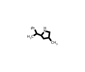 CC1CNC(C(C)C(C)C)C1